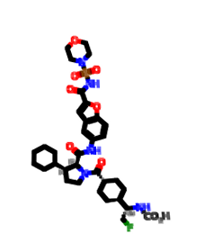 O=C(O)N[C@H](CF)[C@H]1CC[C@H](C(=O)N2CC[C@@H](C3CCCCC3)[C@H]2C(=O)Nc2ccc3oc(C(=O)NS(=O)(=O)N4CCOCC4)cc3c2)CC1